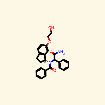 NC(=O)C(c1ccccc1)N(C(=O)c1ccccc1)[C@@H]1CCc2ccc(OCCO)cc21